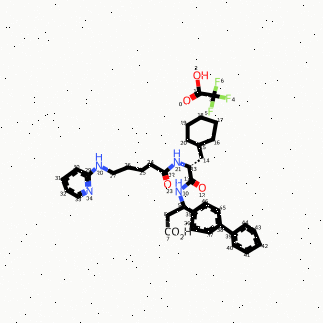 O=C(O)C(F)(F)F.O=C(O)CC(NC(=O)[C@@H](CC1CCCCC1)NC(=O)CCCCNc1ccccn1)c1ccc(-c2ccccc2)cc1